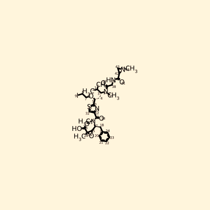 CC(C)[C@@H](C[C@@H](OCCI)c1nc(C(=O)N(C)[C@@H](Cc2ccccc2)C2OC2(C)C(=O)O)cs1)N(C)C(=O)CNC(=O)C1CN1C